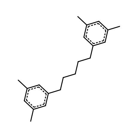 Cc1cc(C)cc(CCCCCc2cc(C)cc(C)c2)c1